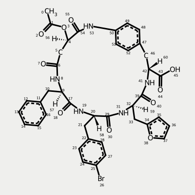 CC(=O)O[C@@H]1CC(=O)N[C@H](Cc2ccccc2)C(=O)N[C@@H](Cc2ccc(Br)cc2)C(=O)N[C@H](Cc2ccco2)C(=O)N[C@@H](C(=O)O)Cc2ccc(cc2)NC1=O